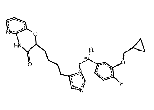 CC[C@@H](Cn1nncc1CCCCC1Oc2cccnc2NC1=O)c1ccc(F)c(OCC2CC2)c1